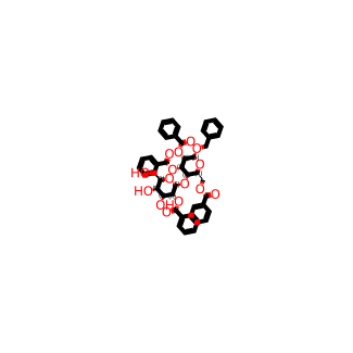 O=C(OC[C@H]1O[C@H](OCc2ccccc2)[C@H](OC(=O)c2ccccc2)[C@@H](OC(=O)c2ccccc2)[C@@H]1O[C@@H]1O[C@H](CO)[C@H](O)[C@H](O)[C@H]1OC(=O)c1ccccc1)c1ccccc1